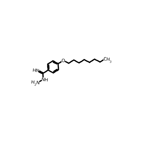 CCCCCCCCOc1ccc(C(=N)NN)cc1